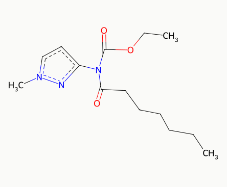 CCCCCCC(=O)N(C(=O)OCC)c1ccn(C)n1